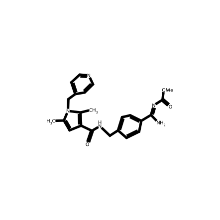 COC(=O)N=C(N)c1ccc(CNC(=O)c2cc(C)n(Cc3ccncc3)c2C)cc1